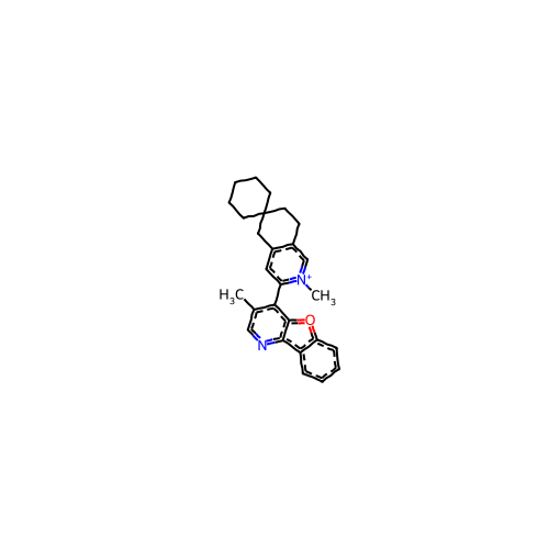 Cc1cnc2c(oc3ccccc32)c1-c1cc2c(c[n+]1C)CCC1(CCCCC1)C2